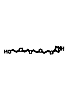 OCCOCCOCCOCCOC1CNC1